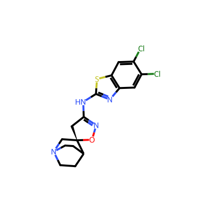 Clc1cc2nc(NC3=NO[C@@]4(C3)CN3CCC4CC3)sc2cc1Cl